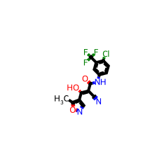 Cc1oncc1/C(O)=C(\C#N)C(=O)Nc1ccc(Cl)c(C(F)(F)F)c1